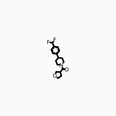 O=C(C1CCOC1)N1CCC(c2ccc(C(F)F)cc2)CC1